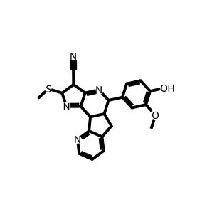 COc1cc(C2N=C3C(=NC(SC)C3C#N)C3c4ncccc4CC23)ccc1O